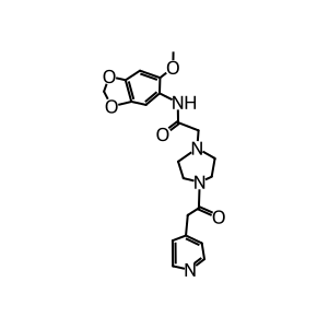 COc1cc2c(cc1NC(=O)CN1CCN(C(=O)Cc3ccncc3)CC1)OCO2